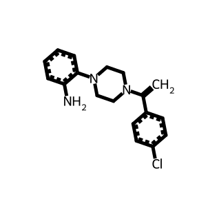 C=C(c1ccc(Cl)cc1)N1CCN(c2ccccc2N)CC1